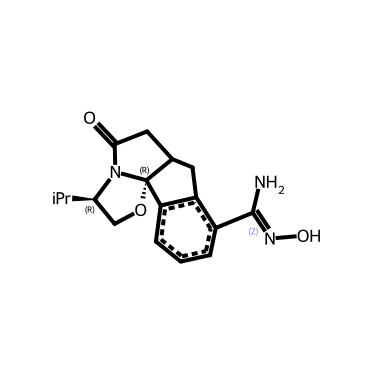 CC(C)[C@@H]1CO[C@@]23c4cccc(/C(N)=N/O)c4CC2CC(=O)N13